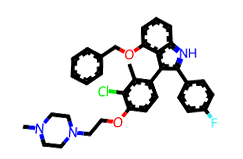 Cc1c(-c2c(-c3ccc(F)cc3)[nH]c3cccc(OCc4ccccc4)c23)ccc(OCCN2CCN(C)CC2)c1Cl